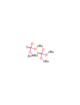 CCCCOP([O-])(=S)OCCCC.CCCCOP([O-])(=S)OCCCC.[Zn+2]